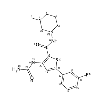 CN1CCC[C@H](NC(=O)c2sc(-c3cccc(F)c3)cc2NC(N)=O)C1